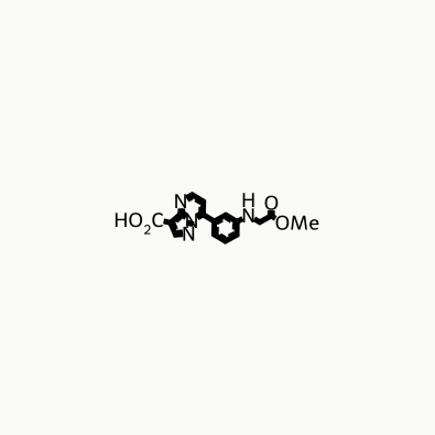 COC(=O)CNc1cccc(-c2ccnc3c(C(=O)O)cnn23)c1